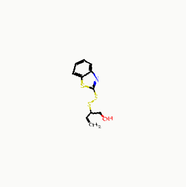 C=CC(CO)SSc1nc2ccccc2s1